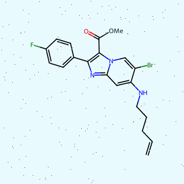 C=CCCCNc1cc2nc(-c3ccc(F)cc3)c(C(=O)OC)n2cc1Br